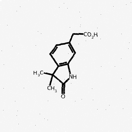 CC1(C)C(=O)Nc2cc(CC(=O)O)ccc21